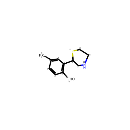 O=Cc1ccc(C(F)(F)F)cc1C1CNCCS1